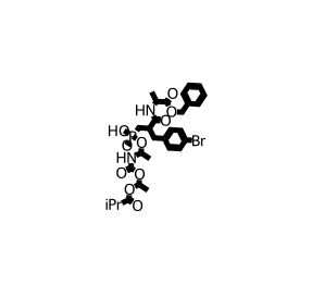 CC(NC(=O)OC(C)OC(=O)C(C)C)OP(=O)(O)CC(Cc1ccc(Br)cc1)C(=O)NC(C)C(=O)OCc1ccccc1